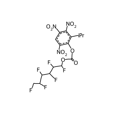 CC(C)c1c(OC(=O)OC(F)C(F)C(F)C(F)C(F)CF)c([N+](=O)[O-])cc([N+](=O)[O-])c1[N+](=O)[O-]